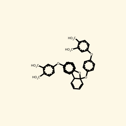 O=C(O)c1ccc(Oc2ccc(OC3(Oc4ccc(Oc5ccc(C(=O)O)c(C(=O)O)c5)cc4)C=CC=CC3c3ccccc3)cc2)cc1C(=O)O